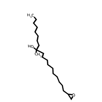 CCCCCCCCC(C)(O)CCCCCCCCCCC1CO1